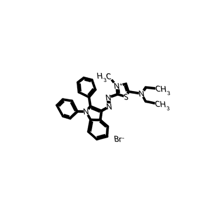 CCN(CC)c1c[n+](C)c(/N=N/c2c(-c3ccccc3)n(-c3ccccc3)c3ccccc23)s1.[Br-]